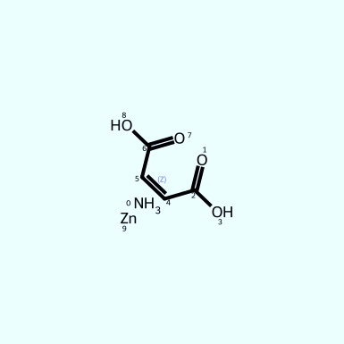 N.O=C(O)/C=C\C(=O)O.[Zn]